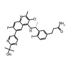 Cc1nc2cc(F)c(-c3cnc(C(C)(C)O)nc3)cc2c(N[C@H](C)c2cc(CCC(N)=O)ccc2F)c1Cl